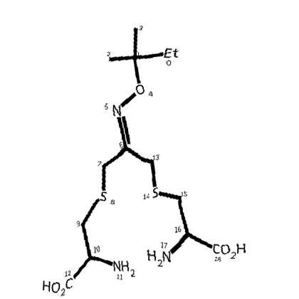 CCC(C)(C)ON=C(CSCC(N)C(=O)O)CSCC(N)C(=O)O